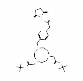 C/C=C(\C=C/CCC(=O)ON1C(=O)CCC1=O)CN1CCN(CC(=O)OC(C)(C)C)CCN(CC(=O)OC(C)(C)C)CC1